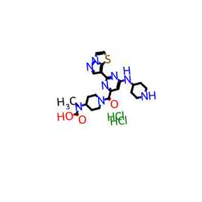 CN(C(=O)O)C1CCN(C(=O)c2cc(NC3CCNCC3)nc(-c3cnn4ccsc34)n2)CC1.Cl.Cl